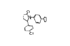 O=C1CCC(c2ccc(Cl)cc2)N1c1ccc(Cl)cc1